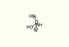 Cc1cc(-c2[nH]c3ccc(C4CCNCC4)cc3c2CCO)ccn1